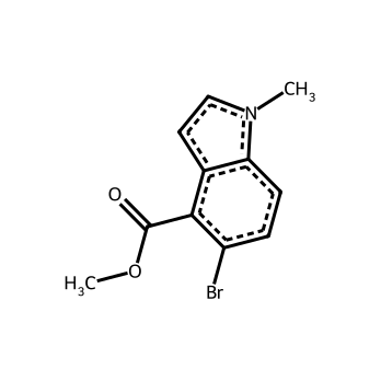 COC(=O)c1c(Br)ccc2c1ccn2C